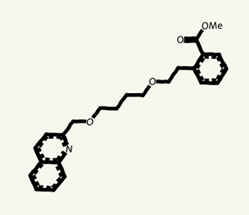 COC(=O)c1ccccc1CCOCCCCOCc1ccc2ccccc2n1